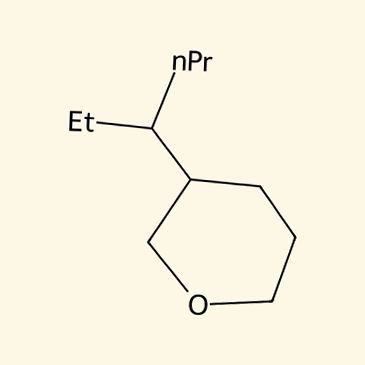 CCCC(CC)C1CCCOC1